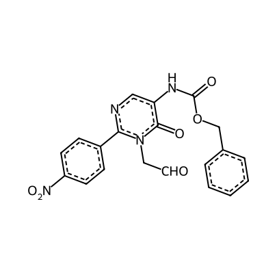 O=CCn1c(-c2ccc([N+](=O)[O-])cc2)ncc(NC(=O)OCc2ccccc2)c1=O